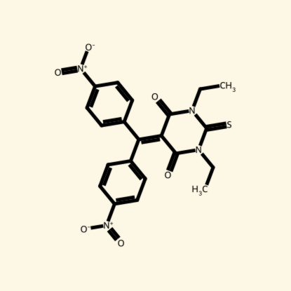 CCN1C(=O)C(=C(c2ccc([N+](=O)[O-])cc2)c2ccc([N+](=O)[O-])cc2)C(=O)N(CC)C1=S